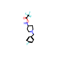 O=C(ONC1CCN(Cc2ccc(F)cc2)CC1)C(F)(F)F